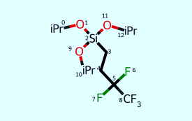 CC(C)O[Si](CCC(F)(F)C(F)(F)F)(OC(C)C)OC(C)C